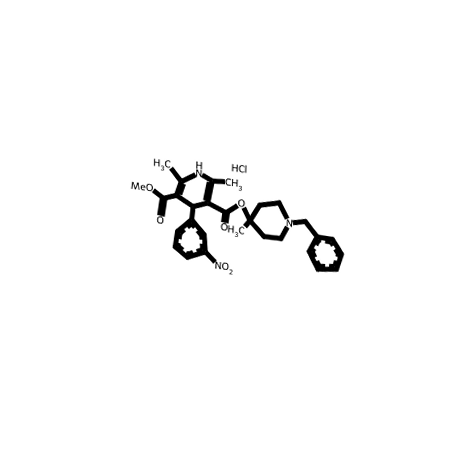 COC(=O)C1=C(C)NC(C)=C(C(=O)OC2(C)CCN(Cc3ccccc3)CC2)C1c1cccc([N+](=O)[O-])c1.Cl